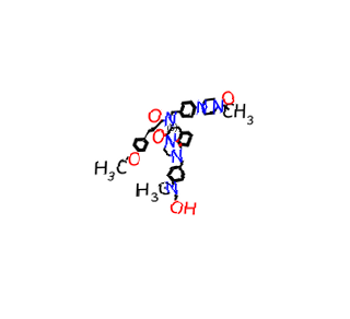 CCOc1ccc(C=CC(=O)N(Cc2ccc(N3CCN(C(C)=O)CC3)cc2)[C@@H](Cc2ccccc2)C(=O)N2CCN(Cc3ccc(N(C)CCO)cc3)CC2)cc1